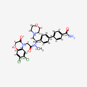 CN(C(=O)CN1C(=O)COc2cc(Cl)c(Cl)cc21)[C@@H](CN1CCOCC1)c1ccc(-c2ccc(C(N)=O)cc2)cc1